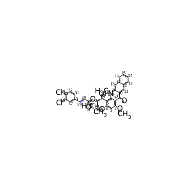 COc1cc2c(c3c1c(=O)c1cc4ccccc4cc1n3C)C(O)C(OC(=O)/C=C/c1ccc(Cl)c(Cl)c1)C(C)(C)O2